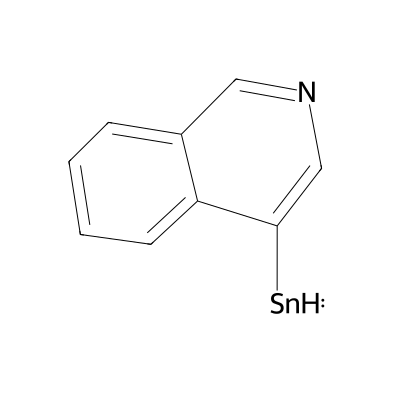 [SnH][c]1cncc2ccccc12